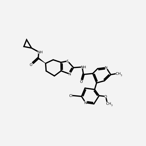 COc1cnc(Cl)cc1-c1cc(C)ncc1C(=O)Nc1nc2c(s1)C[C@H](C(=O)NC1CC1)CC2